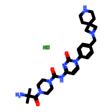 CC(C)(N)C(=O)N1CCN(C(=O)Nc2ccn(-c3ccc(CN4CC5(CCNCC5)C4)cc3)c(=O)n2)CC1.Cl